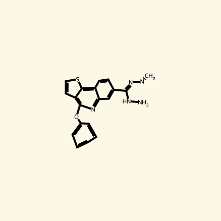 C=N/N=C(\NN)c1ccc2c(c1)nc(Oc1ccccc1)c1ccsc12